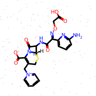 Nc1cccc(C(=NOCC(=O)O)C(=O)NC2C(=O)N3C(C(=O)[O-])=C(C[n+]4ccccc4)CS[C@@H]23)n1